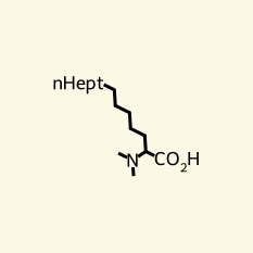 CCCCCCCCCCCCC(C(=O)O)N(C)C